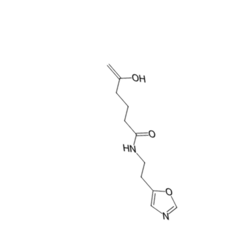 C=C(O)CCCC(=O)NCCc1cnco1